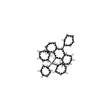 c1ccc(-c2c3ccccc3c([Si](c3ccccc3)(c3ccccc3)c3ccccc3)c3ccccc23)cc1